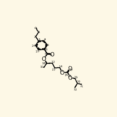 CCCc1ccc(C(=O)OC(C)CCCOC(=O)OCC(C)C)cc1